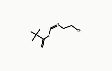 C=C(O/C=N\CCO)C(C)(C)C